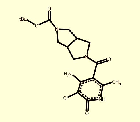 Cc1[nH]c(=O)c(Cl)c(C)c1C(=O)N1CC2CN(C(=O)OC(C)(C)C)CC2C1